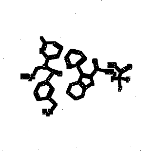 Cc1cccc(N(CC(=O)O)C(=O)c2cccc(CN)c2)n1.NC(=O)c1sc2c(c1-c1ccccn1)CCCC2.O=C(O)C(F)(F)F